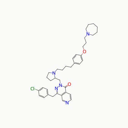 O=c1c2ccncc2c(Cc2ccc(Cl)cc2)nn1CC1CCCN1CCCCc1ccc(OCCCN2CCCCCC2)cc1